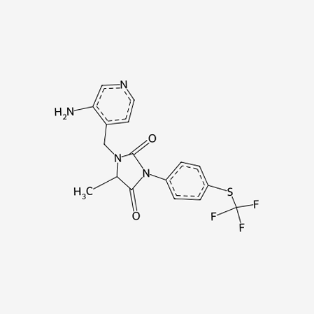 CC1C(=O)N(c2ccc(SC(F)(F)F)cc2)C(=O)N1Cc1ccncc1N